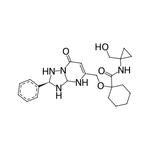 O=C1C=C(COC2(C(=O)NC3(CO)CC3)CCCCC2)NC2N[C@@H](c3ccccc3)NN12